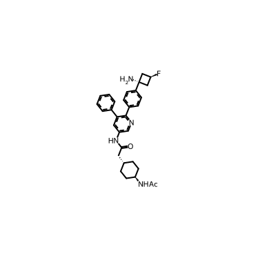 CC(=O)N[C@H]1CC[C@H](CC(=O)Nc2cnc(-c3ccc([C@]4(N)C[C@H](F)C4)cc3)c(-c3ccccc3)c2)CC1